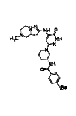 CN1CCN2N=C(Nc3cc(N4CCC[C@@H](NC(=O)c5ccc(C(C)(C)C)cc5)C4)n[nH]c3=O)CC2C1